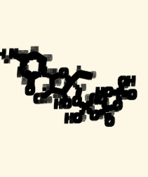 C=C[C@]1(COP(=O)(O)OP(=O)(O)OP(=O)(O)O)O[C@@H](n2ccc(N)nc2=O)[C@H](Cl)[C@@H]1O